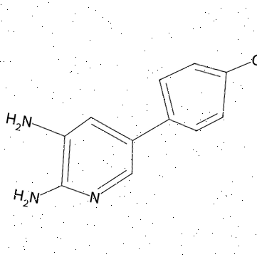 Nc1cc(-c2ccc(Cl)cc2)cnc1N